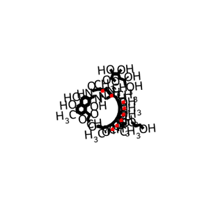 CO[C@H]1/C=C/O[C@@]2(C)Oc3c(C)c(O)c4c(O)c(c(/C=N/N5CCN(C)CC5)c(O)c4c3C2=O)NC(=O)/C(C)=C\C=C\[C@H](C)[C@H](O)[C@@H](C)[C@@H](O)[C@@H](C)[C@H](OC(C)=O)[C@@H]1C.O=C1O[C@H]([C@@H](O)CO)C(O)=C1O.OCCO